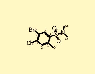 Cc1cc(Cl)c(Br)cc1S(=O)(=O)N(C)C